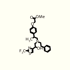 COC(=O)COc1ccc(C(C)CN(CCc2ccccc2)CC(O)c2csc(C(F)(F)F)n2)cc1